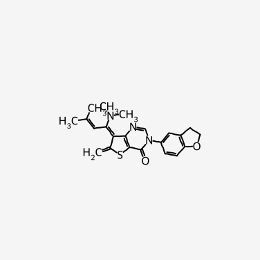 C=c1sc2c(=O)n(-c3ccc4c(c3)CCO4)cnc2/c1=C(/C=C(C)C)N(C)C